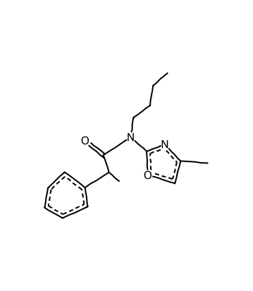 CCCCN(C(=O)C(C)c1ccccc1)c1nc(C)co1